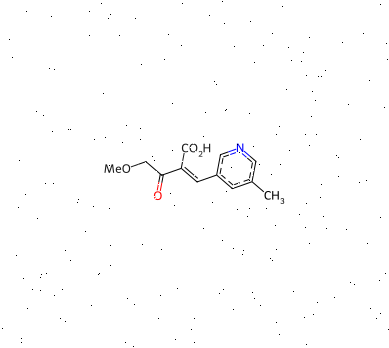 COCC(=O)/C(=C/c1cncc(C)c1)C(=O)O